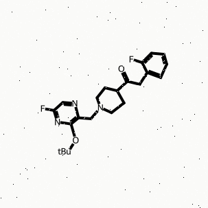 CC(C)(C)Oc1nc(F)cnc1CN1CCC(C(=O)Cc2ccccc2F)CC1